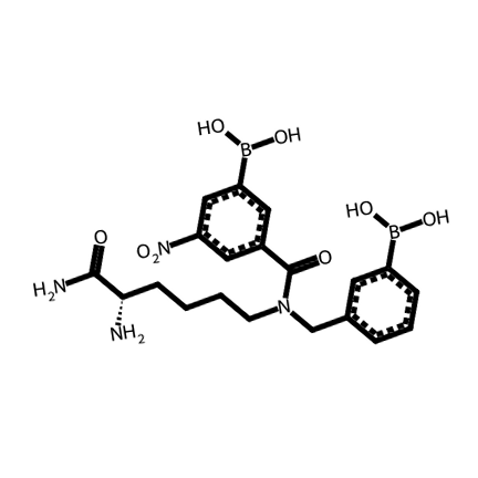 NC(=O)[C@@H](N)CCCCN(Cc1cccc(B(O)O)c1)C(=O)c1cc(B(O)O)cc([N+](=O)[O-])c1